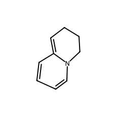 C1=CC2=CCCCN2C=C1